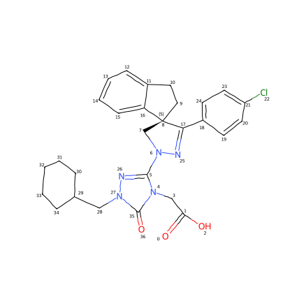 O=C(O)Cn1c(N2C[C@@]3(CCc4ccccc43)C(c3ccc(Cl)cc3)=N2)nn(CC2CCCCC2)c1=O